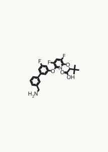 CC(C)(C)[C@@H](Oc1nc(Oc2cc(F)cc(-c3cccc(CN)c3)c2)c(F)cc1F)C(=O)O